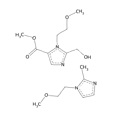 COCCn1c(C(=O)OC)cnc1CO.COCCn1ccnc1C